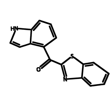 O=C(c1nc2ccccc2s1)c1cccc2[nH]ccc12